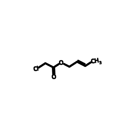 CC=CCOC(=O)CCl